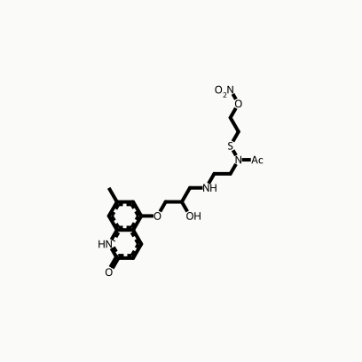 CC(=O)N(CCNCC(O)COc1cc(C)cc2[nH]c(=O)ccc12)SCCO[N+](=O)[O-]